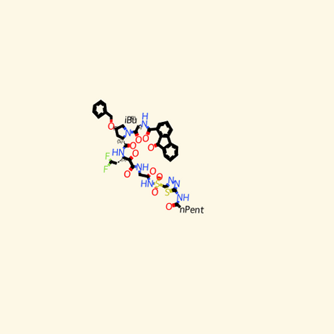 CCCCCC(=O)Nc1nnc(S(=O)(=O)NC(=O)CNC(=O)C(=O)[C@H](CC(F)F)NC(=O)[C@@H]2C[C@@H](OCc3ccccc3)CN2C(=O)[C@@H](NC(=O)c2cccc3c2C(=O)c2ccccc2-3)[C@H](C)CC)s1